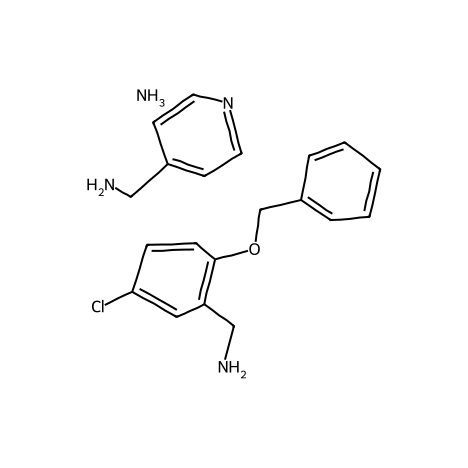 N.NCc1cc(Cl)ccc1OCc1ccccc1.NCc1ccncc1